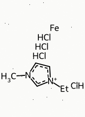 CC[n+]1ccn(C)c1.Cl.Cl.Cl.Cl.[Fe]